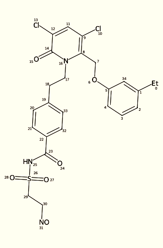 CCc1cccc(OCc2c(Cl)cc(Cl)c(=O)n2CCc2ccc(C(=O)NS(=O)(=O)CCN=O)cc2)c1